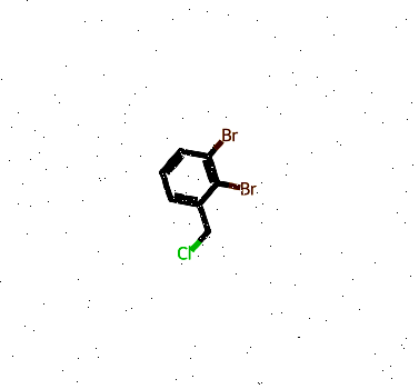 ClCc1cccc(Br)c1Br